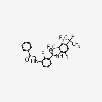 O=C(CNc1cccc(C(=O)Nc2c(I)cc(C(F)(C(F)(F)F)C(F)(F)F)cc2C(F)(F)F)c1F)c1ccccc1